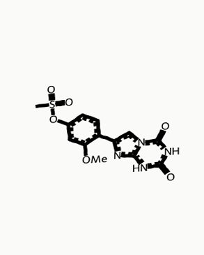 COc1cc(OS(C)(=O)=O)ccc1-c1cn2c(=O)[nH]c(=O)[nH]c2n1